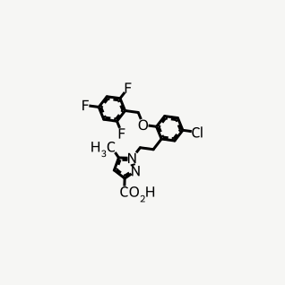 Cc1cc(C(=O)O)nn1CCc1cc(Cl)ccc1OCc1c(F)cc(F)cc1F